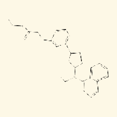 CCOC(=O)COc1cccc(C2CCC(N(CC)c3cccc4ccccc34)C2)c1